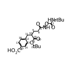 CC(C)(C)NC(=O)ONC(=O)CCC(Cc1ccc(C(=O)O)cc1)C(=O)OC(C)(C)C